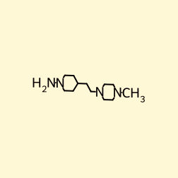 CN1CCN(CCC2CCN(N)CC2)CC1